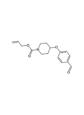 C=CCOC(=O)N1CCC(Oc2ccc(C=O)cc2)CC1